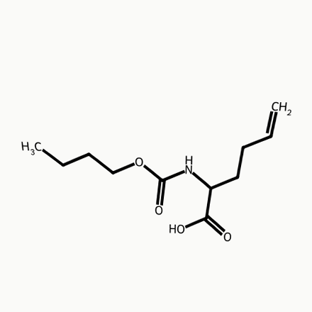 C=CCCC(NC(=O)OCCCC)C(=O)O